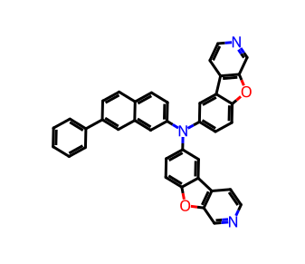 c1ccc(-c2ccc3ccc(N(c4ccc5oc6cnccc6c5c4)c4ccc5oc6cnccc6c5c4)cc3c2)cc1